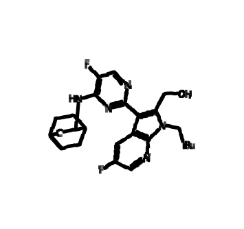 CCC(C)Cn1c(CO)c(-c2ncc(F)c(NC3CC4CCC3CC4)n2)c2cc(F)cnc21